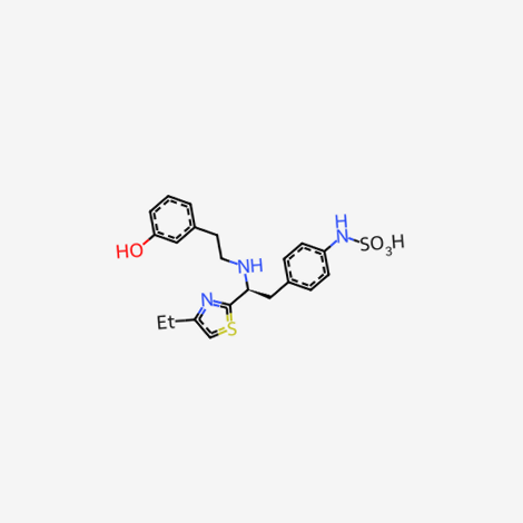 CCc1csc([C@H](Cc2ccc(NS(=O)(=O)O)cc2)NCCc2cccc(O)c2)n1